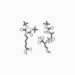 COC(=O)CCCCCN(C(=O)OC(C)(C)C)C(=O)OC(C)(C)C.CSCCC(N[Se]C(=O)C(C)NC(=O)OC(C)(C)C)C(=O)O